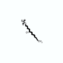 CCCCCCCCCCCCOS(=O)(=O)[O-].[Cs+]